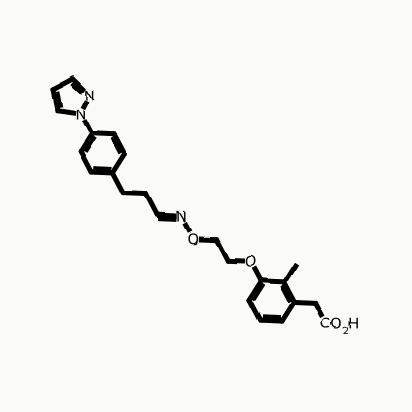 Cc1c(CC(=O)O)cccc1OCCON=CCCc1ccc(-n2cccn2)cc1